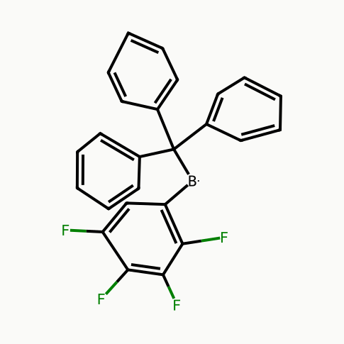 Fc1cc([B]C(c2ccccc2)(c2ccccc2)c2ccccc2)c(F)c(F)c1F